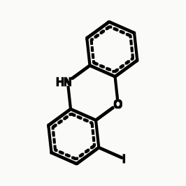 Ic1cccc2c1Oc1ccccc1N2